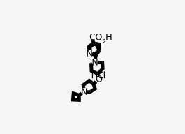 Cl.O=C(O)c1ccc(N2CCC(OC3CCN(C4CCC4)CC3)CC2)nc1